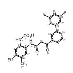 CCc1cc(NC(=O)O)c(NC(=O)CC(=O)c2cccc(-c3cc(C)nc(C)c3)c2)cc1C(F)(F)F